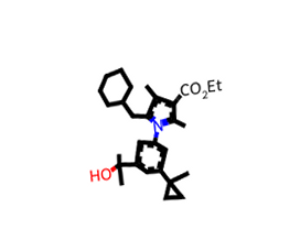 CCOC(=O)c1c(C)c(CC2CCCCC2)n(-c2cc(C(C)(C)O)cc(C3(C)CC3)c2)c1C